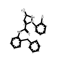 O=C(Nc1ccccc1Cc1ccccc1)C1=CC(C(F)(F)F)NN1c1ccccc1Cl